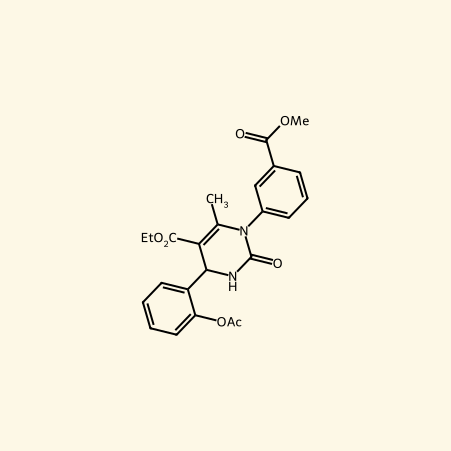 CCOC(=O)C1=C(C)N(c2cccc(C(=O)OC)c2)C(=O)NC1c1ccccc1OC(C)=O